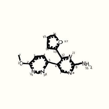 COc1ccc(-c2cnc(N)nc2-c2ccco2)nn1